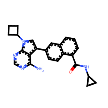 Nc1ncnc2c1c(-c1ccc3c(C(=O)NC4CC4)cccc3c1)cn2C1CCC1